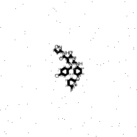 O=C(Nc1ccon1)c1cn(Cc2ccc(Cl)cc2)c(Nc2ccc(Oc3cccc(F)n3)cc2)nc1=O